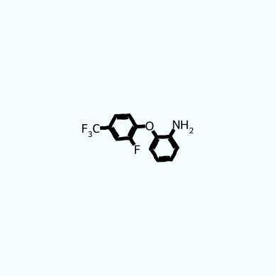 Nc1ccccc1Oc1ccc(C(F)(F)F)cc1F